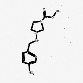 CC(C)(C)OC(=O)N1CC[C@H](NCc2ccc([N+](=O)[O-])cn2)C1